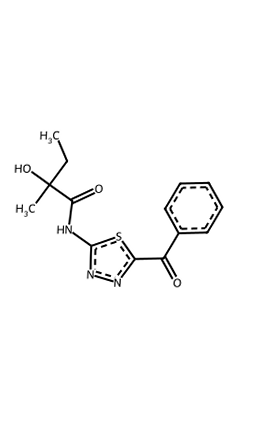 CCC(C)(O)C(=O)Nc1nnc(C(=O)c2ccccc2)s1